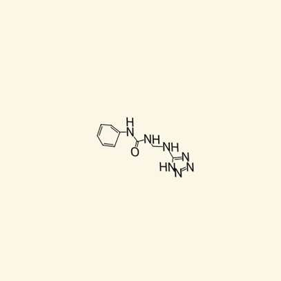 O=C(NCNc1nnn[nH]1)Nc1ccccc1